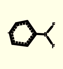 FB(F)c1cc[c]cc1